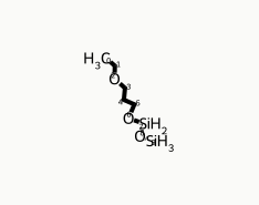 CCOCCCO[SiH2]O[SiH3]